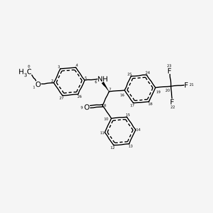 COc1ccc(N[C@H](C(=O)c2ccccc2)c2ccc(C(F)(F)F)cc2)cc1